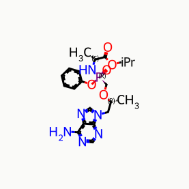 CC(C)OC(=O)[C@H](C)N[P@@](=O)(CO[C@H](C)Cn1cnc2c(N)ncnc21)Oc1ccccc1